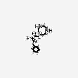 CC(C)N(OCc1ccccc1)C(=O)CN1CCNCCNCC1